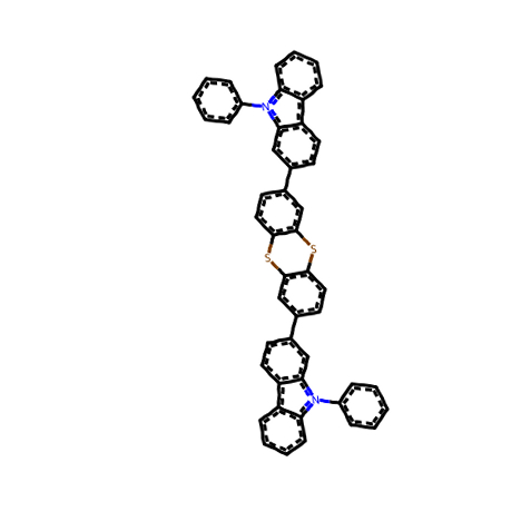 c1ccc(-n2c3ccccc3c3ccc(-c4ccc5c(c4)Sc4ccc(-c6ccc7c8ccccc8n(-c8ccccc8)c7c6)cc4S5)cc32)cc1